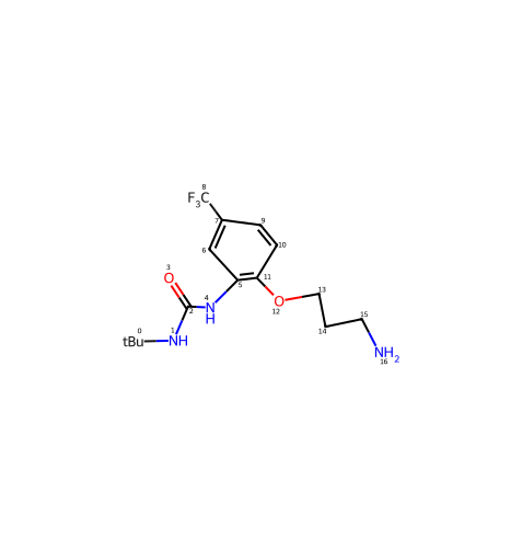 CC(C)(C)NC(=O)Nc1cc(C(F)(F)F)ccc1OCCCN